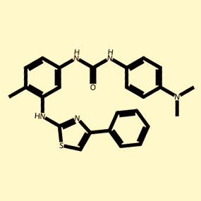 Cc1ccc(NC(=O)Nc2ccc(N(C)C)cc2)cc1Nc1nc(-c2ccccc2)cs1